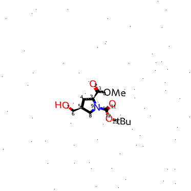 COC(=O)[C@@H]1C[C@H](CO)CN1C(=O)OC(C)(C)C